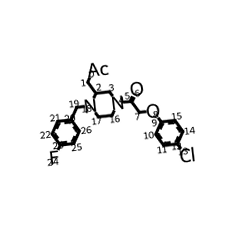 CC(=O)CC1CN(C(=O)COc2ccc(Cl)cc2)CCN1Cc1ccc(F)cc1